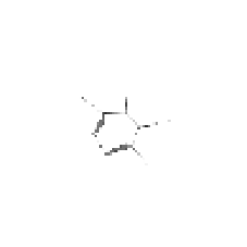 CC1=CC=C(C)C(F)C1F